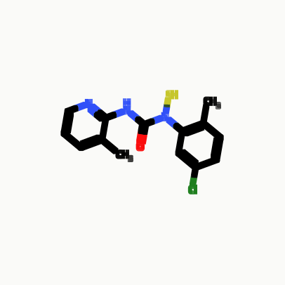 Cc1ccc(Cl)cc1N(S)C(=O)Nc1ncccc1C